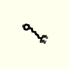 [CH2]C(C)CCCCCCN1CCOCC1